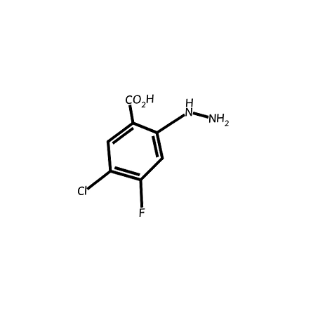 NNc1cc(F)c(Cl)cc1C(=O)O